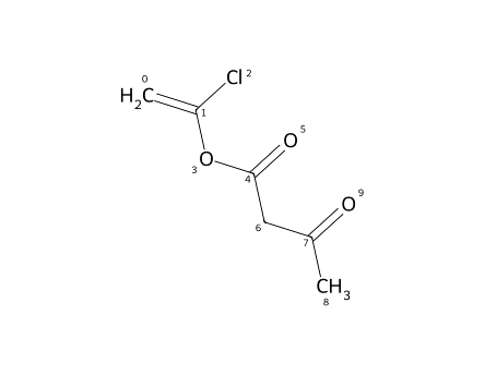 C=C(Cl)OC(=O)CC(C)=O